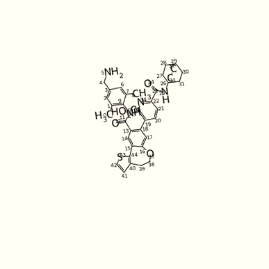 Cc1cc(CN)cc(C)c1NC(=O)c1cc2c(cc1-c1ccc(C(=O)NC34CCC(CC3)CC4)nc1C(=O)O)OCCc1ccsc1-2